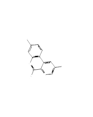 Cc1ccc2c(c1)nc(N)c1ncc(N)cc12